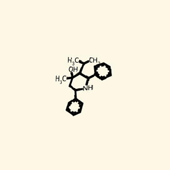 CC(C)C1C(c2ccccc2)NC(c2ccccc2)CC1(C)O